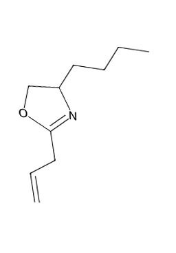 C=CCC1=NC(CCCC)CO1